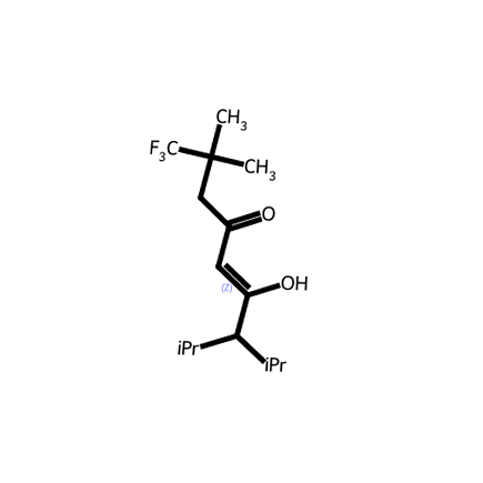 CC(C)C(/C(O)=C/C(=O)CC(C)(C)C(F)(F)F)C(C)C